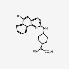 CC(C)(C)N(C(=O)O)C1CCC(Nc2ncc3cc(Br)c4ccccc4c3n2)CC1